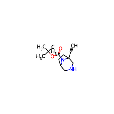 C#CC12CCC(CNC1)N2C(=O)OC(C)(C)C